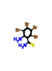 NC(=S)c1c(N)c(Br)c(Br)c(Br)c1Br